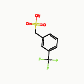 O=S(=O)(O)Cc1cccc(C(F)(F)F)c1